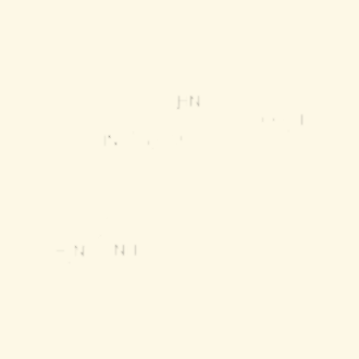 N=C(N)c1ccc(NC(=O)/C=C\C(=O)NCCC(=O)O)cc1